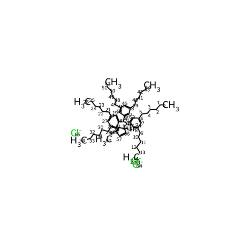 CCCCCCc1cc(CCCCCC)cc([Si](c2cc(CCCCCC)cc(CCCCCC)c2)(c2cc(CCCCCC)cc(CCCCCC)c2)[C]2([Ti+3])C=CC(CC)=C2)c1.[Cl-].[Cl-].[Cl-]